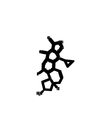 N[C@H]1C[C@H]2CC=Cc3c(c(F)cc4c(=O)c5c(=O)[nH]sc5n(C5CC5)c34)N2C1